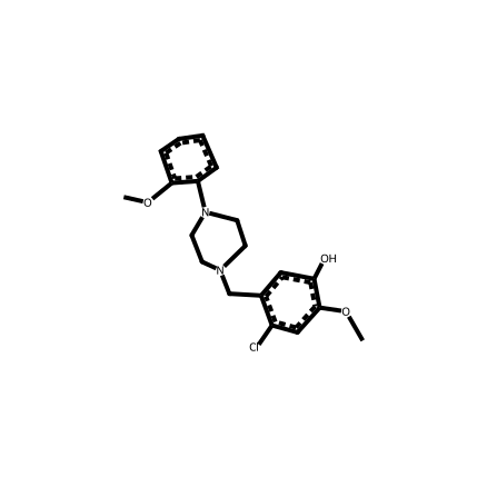 COc1cc(Cl)c(CN2CCN(c3ccccc3OC)CC2)cc1O